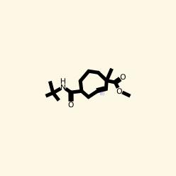 COC(=O)C1(C)/C=C/CC(C(=O)NC(C)(C)C)CCC1